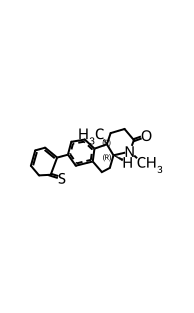 CN1C(=O)CC[C@]2(C)c3ccc(C4=CC=CCC4=S)cc3CC[C@@H]12